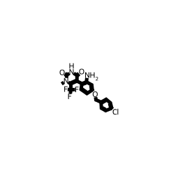 Cn1c(C(F)(F)F)c(-c2ccc(OCc3ccc(Cl)cc3)cc2N)c(=O)[nH]c1=O